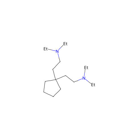 CCN(CC)CCC1(CCN(CC)CC)CCCC1